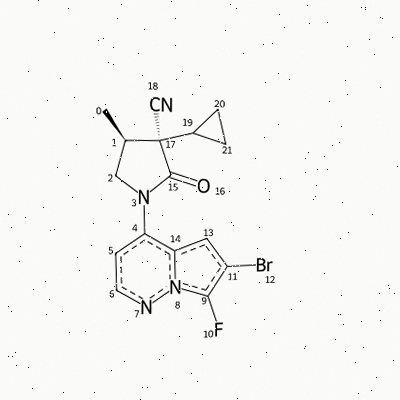 C[C@@H]1CN(c2ccnn3c(F)c(Br)cc23)C(=O)[C@]1(C#N)C1CC1